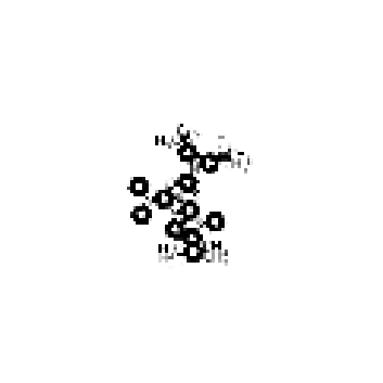 CC(C)(C)c1ccc2c(c1)c1cc(C(C)(C)C)ccc1n2-c1cc2c3c(c1)Sc1cc(N(c4ccccc4)c4ccc5c(c4)C(C)(C)CCC5(C)C)c4c(sc5ccccc54)c1B3c1ccc(N(c3ccccc3)c3ccccc3)cc1O2